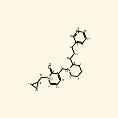 O=c1c(CN2CCCCC2CCCc2cccnc2)cccn1CC1CC1